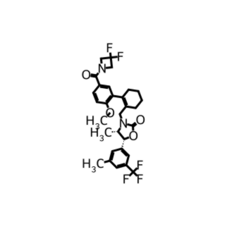 COc1ccc(C(=O)N2CC(F)(F)C2)cc1C1=C(CN2C(=O)O[C@H](c3cc(C)cc(C(F)(F)F)c3)[C@@H]2C)CCCC1